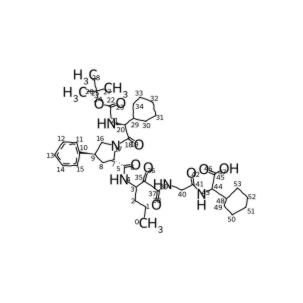 CCCC(NC(=O)[C@@H]1C[C@@H](c2ccccc2)CN1C(=O)[C@@H](NC(=O)OC(C)(C)C)C1CCCCC1)C(=O)C(=O)NCC(=O)NC(C(=O)O)C1CCCCC1